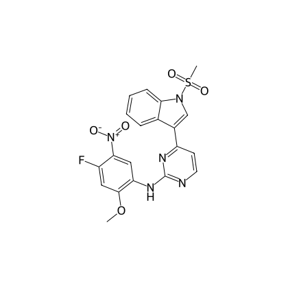 COc1cc(F)c([N+](=O)[O-])cc1Nc1nccc(-c2cn(S(C)(=O)=O)c3ccccc23)n1